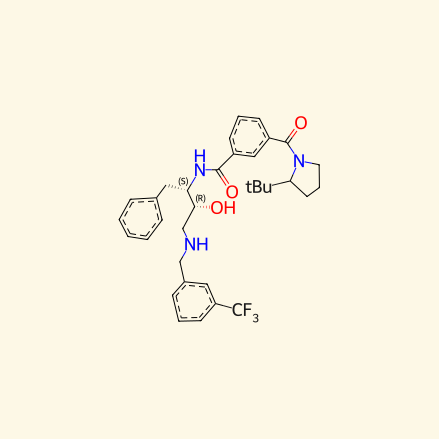 CC(C)(C)C1CCCN1C(=O)c1cccc(C(=O)N[C@@H](Cc2ccccc2)[C@H](O)CNCc2cccc(C(F)(F)F)c2)c1